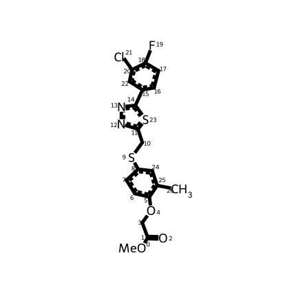 COC(=O)COc1ccc(SCc2nnc(-c3ccc(F)c(Cl)c3)s2)cc1C